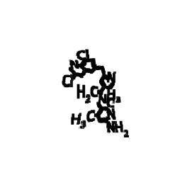 C=C(NCc1c(C)cc(N)nc1C)c1ccnc(Cc2cc(Cl)c3ncc(Cl)cc3c2)c1